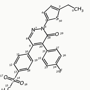 CCc1ccc(-n2ncc(-c3ccc(S(C)(=O)=O)cc3)c(-c3ccc(F)cc3)c2=O)s1